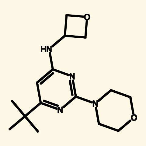 CC(C)(C)c1cc(NC2COC2)nc(N2CCOCC2)n1